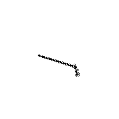 CCCOCCOCCOCCOCCOCCOCCOCCOCCOCCOC(=O)C(C)CNCCC[Si](OC)(OC)OC